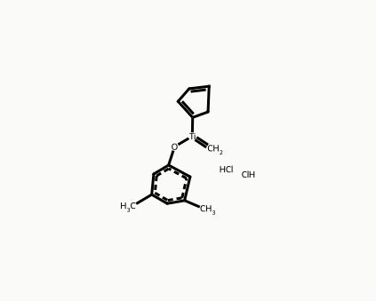 Cl.Cl.[CH2]=[Ti]([O]c1cc(C)cc(C)c1)[C]1=CC=CC1